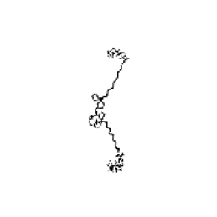 C[Si](C)(C)O[Si](C)(C)O[Si](C)(C)CCCCCCCCCC(=O)OCC(CO)OC(=O)CCCCCCCCC[Si](C)(C)O[Si](C)(C)O[Si](C)(C)C